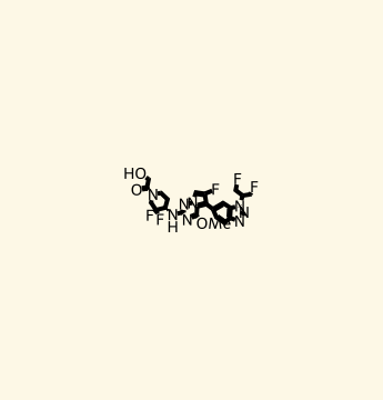 COc1nc(N[C@@H]2CCN(C(=O)CO)CC2(F)F)nn2cc(F)c(-c3ccc4nnn(C(CF)CF)c4c3)c12